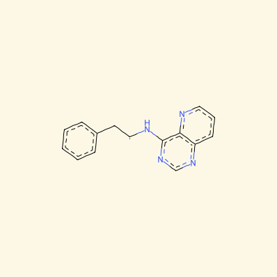 [CH](Cc1ccccc1)Nc1ncnc2cccnc12